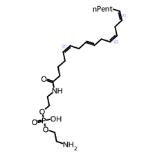 CCCCC/C=C\C/C=C\CC=CC/C=C\CCCC(=O)NCCOP(=O)(O)OCCN